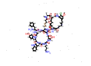 COc1cc2cc(c1Cl)N(C)C(=O)C[C@H](OC(=O)[C@H](C)N(C)C(=O)CCSSC[C@H](NC(=O)[C@@H]1CSSC[C@H](NC(=O)[C@H](N)Cc3ccccc3)C(=O)N[C@@H](Cc3ccc(O)cc3)C(=O)N[C@H](Cc3c[nH]c4ccccc34)C(=O)N[C@@H](CCCCN)C(=O)N[C@@H]([C@@H](C)O)C(=O)N1)C(N)=O)[C@@]1(C)CC(C)(O1)[C@@H]1CC(NC(=O)O1)[C@H](OC)/C=C/C=C(\C)C2